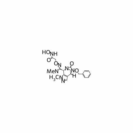 CN/C(=N\OCC(=O)NO)[C@@H]1c2c(cnn2C)[C@@H]2CN1C(=O)N2OCc1ccccc1